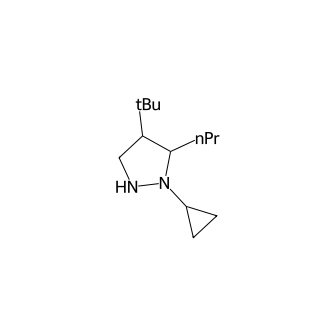 CCCC1C(C(C)(C)C)CNN1C1CC1